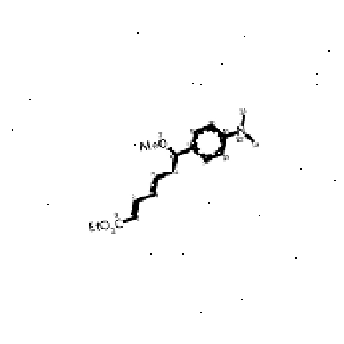 CCOC(=O)/C=C/C=C/CC(OC)c1ccc(N(C)C)cc1